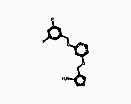 Nc1cscc1COc1cccc(OCc2cc(F)cc(F)c2)c1